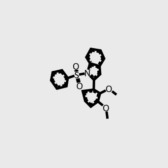 COc1cccc(-c2cc3ccccc3n2S(=O)(=O)c2ccccc2)c1OC